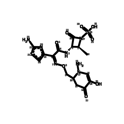 C[C@H]1[C@H](NC(=O)C(=NOCC2CC(=O)C(O)=CN2N)c2csc(N)n2)C(=O)N1S(=O)(=O)O